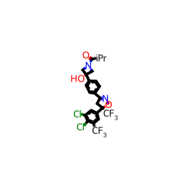 CC(C)C(=O)N1CC(O)(c2ccc(C3=NOC(c4cc(Cl)c(Cl)c(C(F)(F)F)c4)(C(F)(F)F)C3)cc2)C1